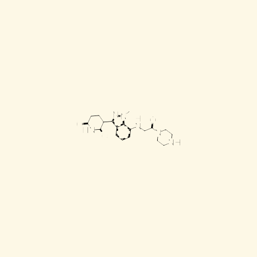 Cn1nc(C2CCC(=O)NC2=O)c2cccc(NCC(=O)N3CCNCC3)c21